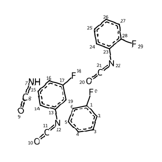 Fc1ccccc1.N=C=O.O=C=Nc1cccc(F)c1.O=C=Nc1ccccc1F